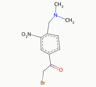 CN(C)Cc1ccc(C(=O)CBr)cc1[N+](=O)[O-]